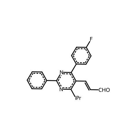 CC(C)c1nc(-c2ccccc2)nc(-c2ccc(F)cc2)c1C=CC=O